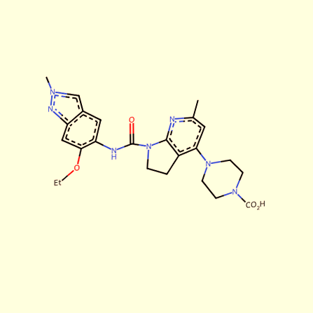 CCOc1cc2nn(C)cc2cc1NC(=O)N1CCc2c(N3CCN(C(=O)O)CC3)cc(C)nc21